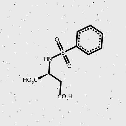 O=C(O)C[C@H](NS(=O)(=O)c1ccccc1)C(=O)O